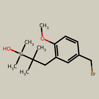 COc1ccc(CBr)cc1CC(C)(C)[Si](C)(C)O